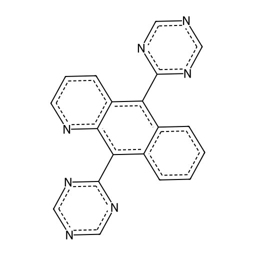 c1ccc2c(-c3ncncn3)c3ncccc3c(-c3ncncn3)c2c1